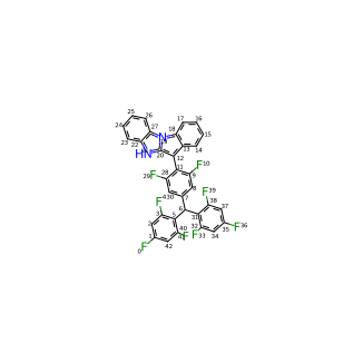 Fc1cc(F)c(C(c2cc(F)c(-c3c4ccccc4n4c3[nH]c3ccccc34)c(F)c2)c2c(F)cc(F)cc2F)c(F)c1